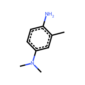 Cc1cc(N(C)C)ccc1N